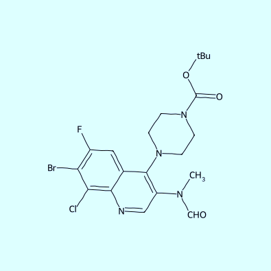 CN(C=O)c1cnc2c(Cl)c(Br)c(F)cc2c1N1CCN(C(=O)OC(C)(C)C)CC1